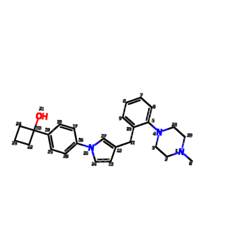 CN1CCN(c2ccccc2Cc2ccn(-c3ccc(C4(O)CCC4)cc3)c2)CC1